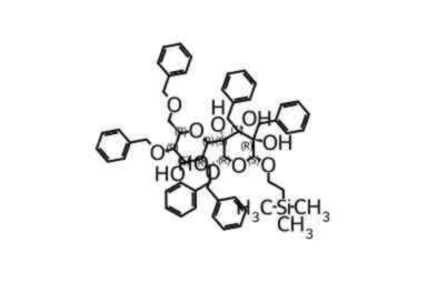 C[Si](C)(C)CCO[C@H]1O[C@H](C(O)Cc2ccccc2)[C@@](O)([C@@H]2O[C@H](COCc3ccccc3)[C@H](OCc3ccccc3)[C@H](O)[C@H]2OCc2ccccc2)[C@@](O)(Cc2ccccc2)[C@]1(O)Cc1ccccc1